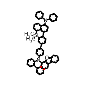 C[Si]1(C)c2cc(-c3ccc(N(c4ccccc4-c4ccccc4)c4cccc5c4oc4ccccc45)cc3)ccc2-c2ccc(N(c3ccccc3)c3ccccc3)c3cccc1c23